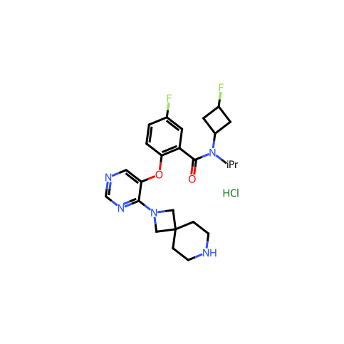 CC(C)N(C(=O)c1cc(F)ccc1Oc1cncnc1N1CC2(CCNCC2)C1)C1CC(F)C1.Cl